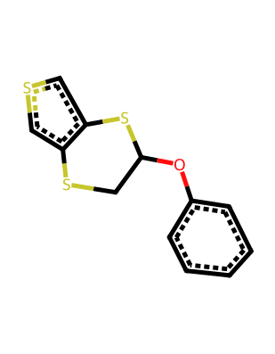 c1ccc(OC2CSc3cscc3S2)cc1